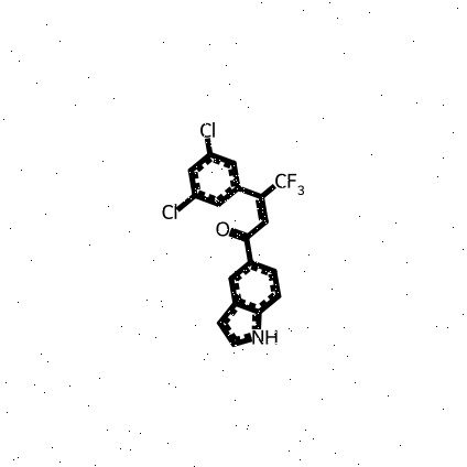 O=C(C=C(c1cc(Cl)cc(Cl)c1)C(F)(F)F)c1ccc2[nH]ccc2c1